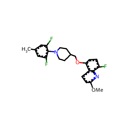 COc1ccc2c(OCC3CCN(c4c(F)cc(C)cc4F)CC3)ccc(F)c2n1